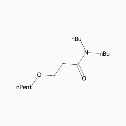 CCCCCOCCC(=O)N(CCCC)CCCC